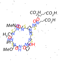 CNC(=O)C[C@@H]1NC(=O)c2csc(n2)-c2ccc(-c3nc(N(CCCCC(=O)O)C(=O)OCC(CCCCC(=O)O)CC(=O)O)cs3)nc2-c2csc(n2)-c2csc(n2)[C@H]([C@@H](O)c2ccccc2)NC(=O)CNC(=O)c2nc(sc2COC)C(C(C)C)NC(=O)c2nc1sc2C